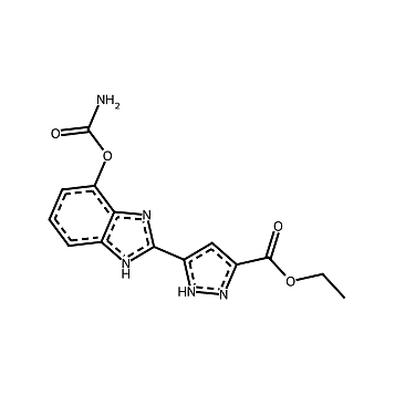 CCOC(=O)c1cc(-c2nc3c(OC(N)=O)cccc3[nH]2)[nH]n1